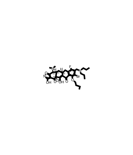 CCCCOc1c(Br)c(CN(CCC)CCC)c(F)c2c1C(=O)C1=C(O)[C@]3(O)C(=O)c4c(O)noc4[C@@H](N(C)C)[C@@H]3C[C@@H]1C2